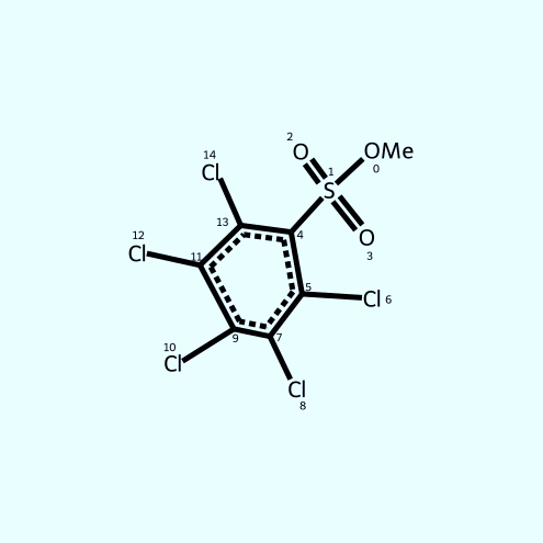 [CH2]OS(=O)(=O)c1c(Cl)c(Cl)c(Cl)c(Cl)c1Cl